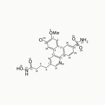 COc1ccc(-c2cc(CCCC(=O)NO)cnc2-c2ccc(S(N)(=O)=O)cc2)cc1Cl